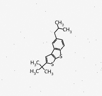 CC(C)Cc1ccc2sc3sc(C(C)(C)C)cc3c2c1